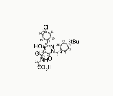 CC(C)(C)c1ccc(Cn2nc(-c3ccc(Cl)cc3)c(O)c(C(=O)NCC(=O)O)c2=O)cc1